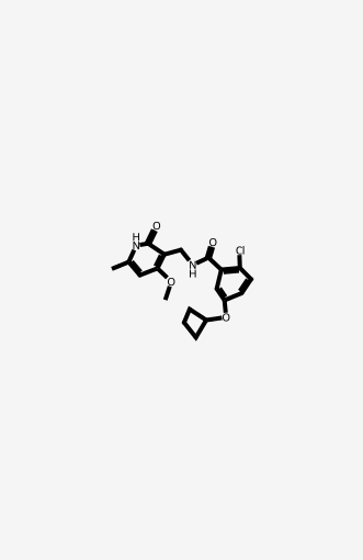 COc1cc(C)[nH]c(=O)c1CNC(=O)c1cc(OC2CCC2)ccc1Cl